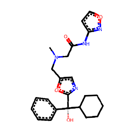 CN(CC(=O)Nc1ccon1)Cc1cnc([C@](O)(c2ccccc2)C2CCCCC2)o1